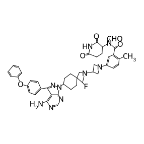 Cc1ccc(N2CC(N3CC4(CCC(n5nc(-c6ccc(Oc7ccccc7)cc6)c6c(N)ncnc65)CC4)C3F)C2)cc1C(=O)N(C=O)C1CCC(=O)NC1=O